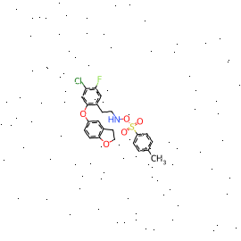 Cc1ccc(S(=O)(=O)ONCCc2cc(F)c(Cl)cc2Oc2ccc3c(c2)CCO3)cc1